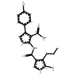 CCCc1c(C(=O)Nc2scc(-c3ccc(Cl)cc3)c2C(=O)O)csc1Cl